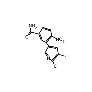 NC(=O)c1ccc([N+](=O)[O-])c(-c2cnc(Cl)c(F)c2)c1